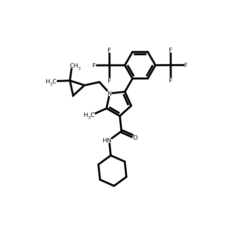 Cc1c(C(=O)NC2CCCCC2)cc(-c2cc(C(F)(F)F)ccc2C(F)(F)F)n1CC1CC1(C)C